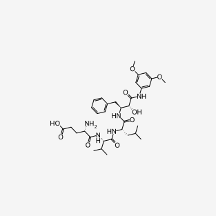 COc1cc(NC(=O)[C@H](O)[C@H](Cc2ccccc2)NC(=O)[C@H](CC(C)C)NC(=O)[C@@H](NC(=O)[C@@H](N)CCC(=O)O)C(C)C)cc(OC)c1